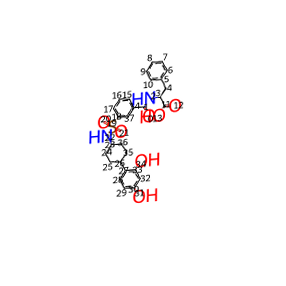 O=C(N[C@@H](Cc1ccccc1)C(=O)O)c1cccc(S(=O)(=O)NC2CCC(c3ccc(O)cc3O)CC2)c1